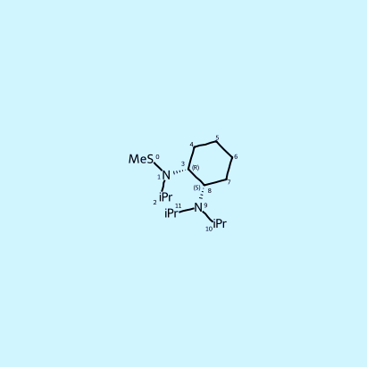 CSN(C(C)C)[C@@H]1CCCC[C@@H]1N(C(C)C)C(C)C